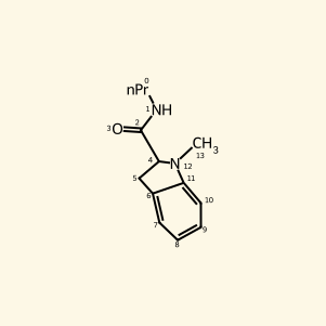 CCCNC(=O)C1Cc2ccccc2N1C